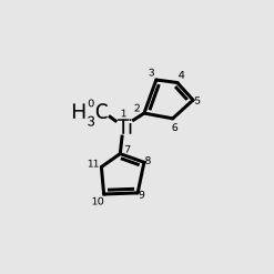 [CH3][Ti]([C]1=CC=CC1)[C]1=CC=CC1